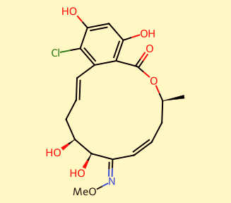 CON=C1/C=C\C[C@H](C)OC(=O)c2c(O)cc(O)c(Cl)c2/C=C/C[C@H](O)[C@@H]1O